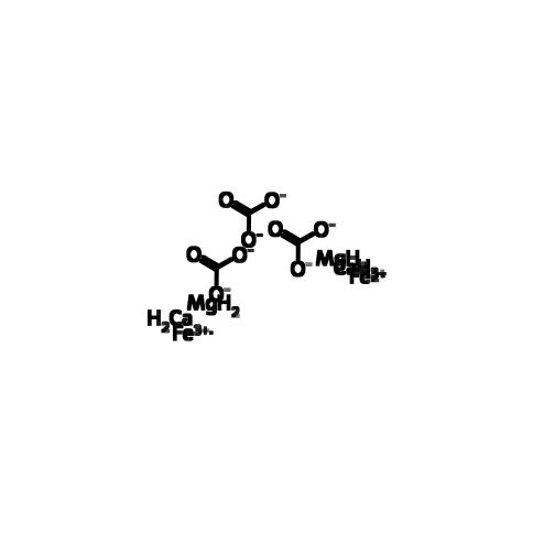 O=C([O-])[O-].O=C([O-])[O-].O=C([O-])[O-].[CaH2].[CaH2].[Fe+3].[Fe+3].[MgH2].[MgH2]